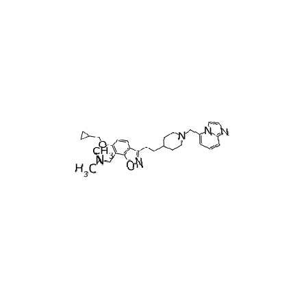 CN(C)Cc1c(OCC2CC2)ccc2c(CCC3CCN(Cc4cccc5nccn45)CC3)noc12